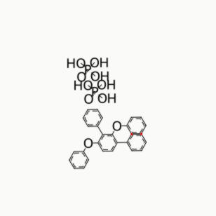 O=P(O)(O)O.O=P(O)(O)O.c1ccc(Oc2ccc(-c3ccccc3)c(Oc3ccccc3)c2-c2ccccc2)cc1